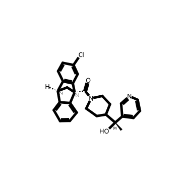 C[C@](O)(c1cccnc1)C1CCN(C(=O)[C@@]23C[C@@H](c4ccccc42)c2ccc(Cl)cc23)CC1